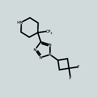 FC1(F)CC(n2nnc(C3(C(F)(F)F)CCNCC3)n2)C1